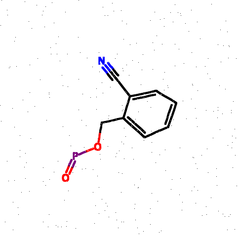 N#Cc1ccccc1COP=O